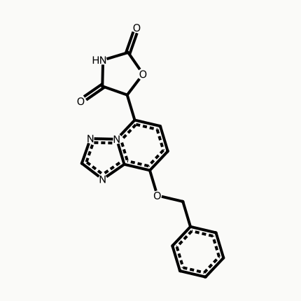 O=C1NC(=O)C(c2ccc(OCc3ccccc3)c3ncnn23)O1